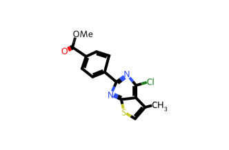 COC(=O)c1ccc(-c2nc(Cl)c3c(C)csc3n2)cc1